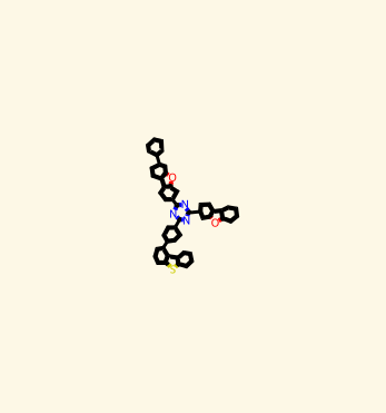 c1ccc(-c2ccc3c(c2)oc2cc(-c4nc(-c5ccc(-c6cccc7sc8ccccc8c67)cc5)nc(-c5ccc6c(c5)oc5ccccc56)n4)ccc23)cc1